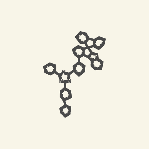 c1ccc(-c2ccc(-c3nc(-c4ccccc4)nc(-c4cccc(-c5cccc6c5-c5c(sc7ccccc57)C65c6ccccc6-c6ccccc65)c4)n3)cc2)cc1